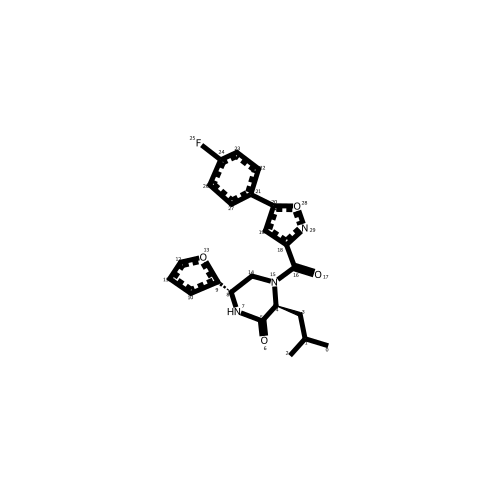 CC(C)C[C@H]1C(=O)N[C@H](c2ccco2)CN1C(=O)c1cc(-c2ccc(F)cc2)on1